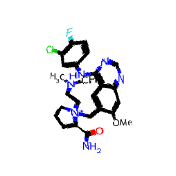 COc1cc2ncnc(Nc3ccc(F)c(Cl)c3)c2cc1C[N+]1(CCN(C)C)CCC[C@@H]1C(N)=O